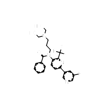 CCN(CC)CCCN(C(=O)c1ccccc1)c1ccc(-c2cncc(F)c2)nc1C(F)(F)F